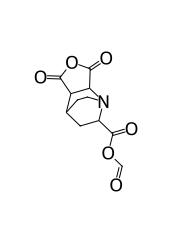 O=COC(=O)C1CC2CCN1C1C(=O)OC(=O)C21